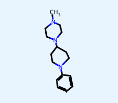 CN1CCN(C2CCN(c3cc[c]cc3)CC2)CC1